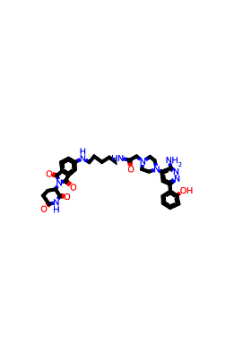 Nc1nnc(-c2ccccc2O)cc1N1CCN(CC(=O)NCCCCCNc2ccc3c(c2)C(=O)N(C2CCC(=O)NC2=O)C3=O)CC1